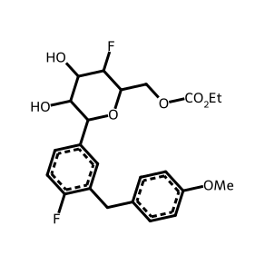 CCOC(=O)OCC1OC(c2ccc(F)c(Cc3ccc(OC)cc3)c2)C(O)C(O)C1F